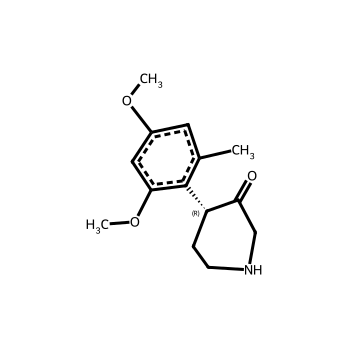 COc1cc(C)c([C@H]2CCNCC2=O)c(OC)c1